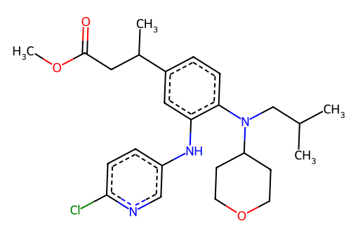 COC(=O)CC(C)c1ccc(N(CC(C)C)C2CCOCC2)c(Nc2ccc(Cl)nc2)c1